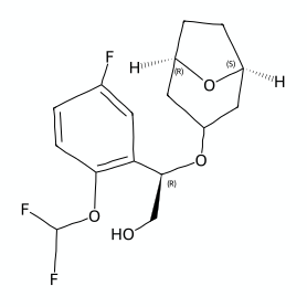 OC[C@H](OC1C[C@H]2CC[C@@H](C1)O2)c1cc(F)ccc1OC(F)F